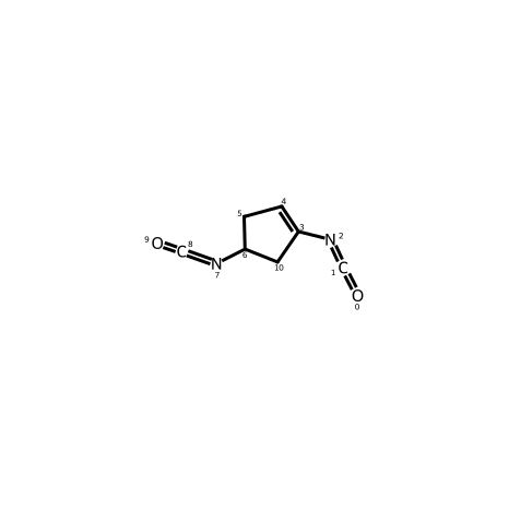 O=C=NC1=CCC(N=C=O)C1